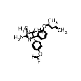 C=CC[C@H](C)Oc1cccc([C@@]2(C3C=CC(OC(F)F)=CC3)N=C(N)N(C)C2=C)c1